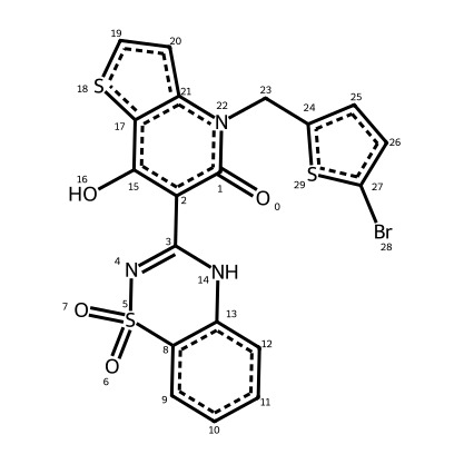 O=c1c(C2=NS(=O)(=O)c3ccccc3N2)c(O)c2sccc2n1Cc1ccc(Br)s1